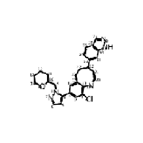 Clc1cc(-c2ccnn2CC2CCCCO2)cc2c1N=C=CC(c1ccc3cn[nH]c3c1)CC2